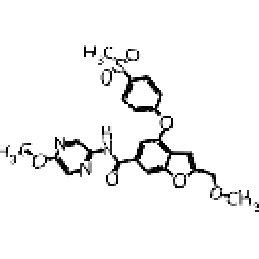 COCc1cc2c(Oc3ccc(S(C)(=O)=O)cc3)cc(C(=O)Nc3cnc(OC)cn3)cc2o1